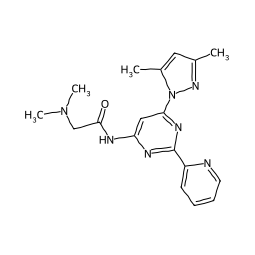 Cc1cc(C)n(-c2cc(NC(=O)CN(C)C)nc(-c3ccccn3)n2)n1